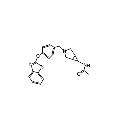 CC(=O)NC1C2CN(Cc3ccc(Oc4nc5ccccc5s4)cc3)CC21